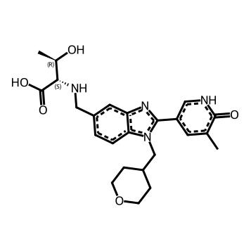 Cc1cc(-c2nc3cc(CN[C@H](C(=O)O)[C@@H](C)O)ccc3n2CC2CCOCC2)c[nH]c1=O